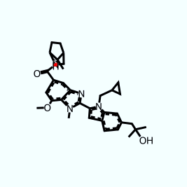 COc1cc(C(=O)N2CC3CCC2[C@@H]3C)cc2nc(-c3cc4ccc(CC(C)(C)O)cc4n3CC3CC3)n(C)c12